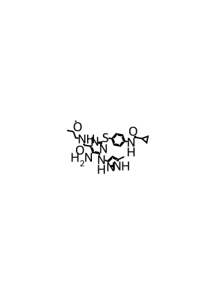 COC(C)CNC(=O)c1nc(Sc2ccc(NC(=O)C3CC3)cc2)nc(Nc2cc(C)[nH]n2)c1N